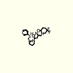 N[C@@H](CC(=O)N1CCC[C@H]1CSc1ccccc1)CN1CC(F)(F)CCC1=O